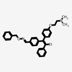 CCC(=C(c1ccc(C=NOCc2ccccc2)cc1)c1ccc(OCCN(C)C)cc1)c1ccccc1